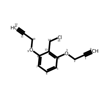 C#CCOc1cccc(OCC#C)c1CCl